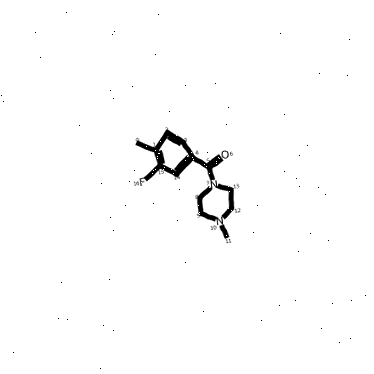 Cc1ccc(C(=O)N2CCN(C)CC2)cc1F